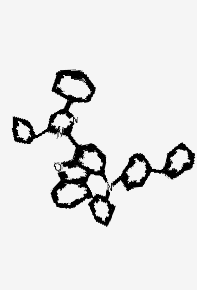 c1ccc(-c2ccc(N(c3ccccc3)c3ccc(-c4nc(-c5ccccc5)cc(-c5ccccc5)n4)c4oc5ccccc5c34)cc2)cc1